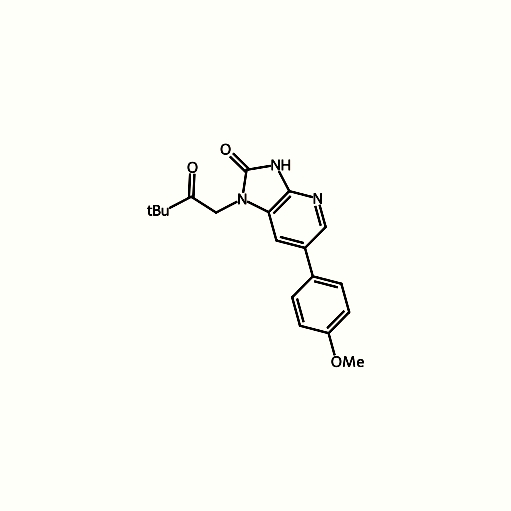 COc1ccc(-c2cnc3[nH]c(=O)n(CC(=O)C(C)(C)C)c3c2)cc1